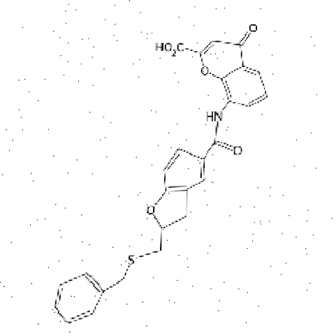 O=C(Nc1cccc2c(=O)cc(C(=O)O)oc12)c1ccc2c(c1)CC(CSCc1ccccc1)O2